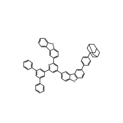 c1ccc(-c2cc(-c3ccccc3)cc(-c3cc(-c4ccc5oc6ccc(-c7ccc(C89CC%10CC(CC(C%10)C8)C9)cc7)cc6c5c4)cc(-c4ccc5oc6ccccc6c5c4)n3)c2)cc1